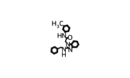 Cc1cccc(NC(=O)Cn2c(NCc3ccccc3)nc3ccccc32)c1